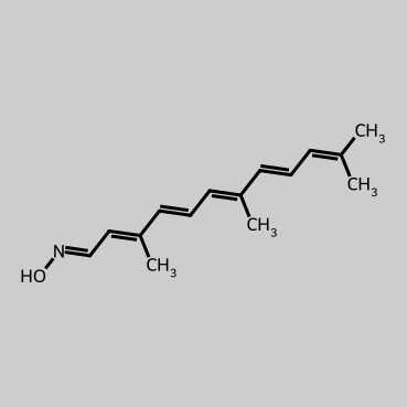 CC(C)=C/C=C/C(C)=C/C=C/C(C)=C/C=N/O